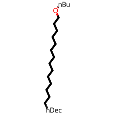 [CH2]CCCCCCCCCCCCCCCCCCCCCCCOCCCC